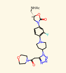 CC(=O)NC[C@H]1CN(c2ccc(N3CCC(n4nnnc4CC(=O)N4CCOCC4)CC3)c(F)c2)C(=O)O1